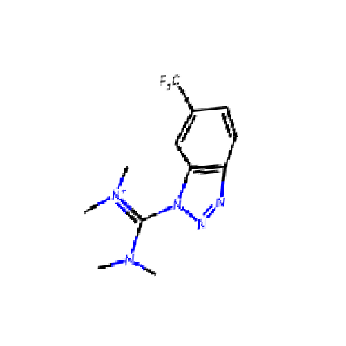 CN(C)C(n1nnc2ccc(C(F)(F)F)cc21)=[N+](C)C